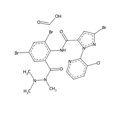 CN(C)N(C)C(=O)c1cc(Br)cc(Br)c1NC(=O)c1cc(Br)nn1-c1ncccc1Cl.O=CO